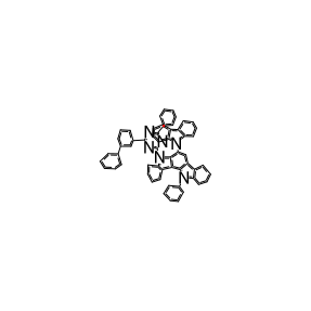 c1ccc(-c2cccc(-c3nc(-c4ccccc4)nc(-n4c5ccccc5c5c4c(-n4c6ccccc6c6ccccc64)cc4c6ccccc6n(-c6ccccc6)c45)n3)c2)cc1